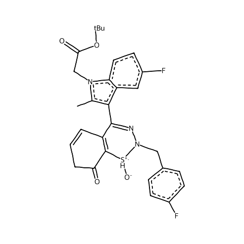 Cc1c(C2=NN(Cc3ccc(F)cc3)[SH+]([O-])C3=C2C=CCC3=O)c2cc(F)ccc2n1CC(=O)OC(C)(C)C